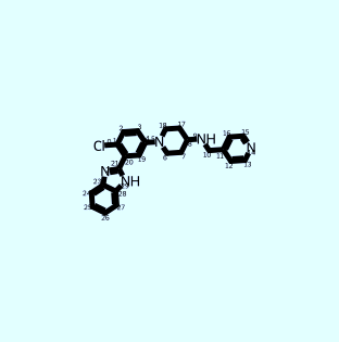 Clc1ccc(N2CCC(NCc3ccncc3)CC2)cc1-c1nc2ccccc2[nH]1